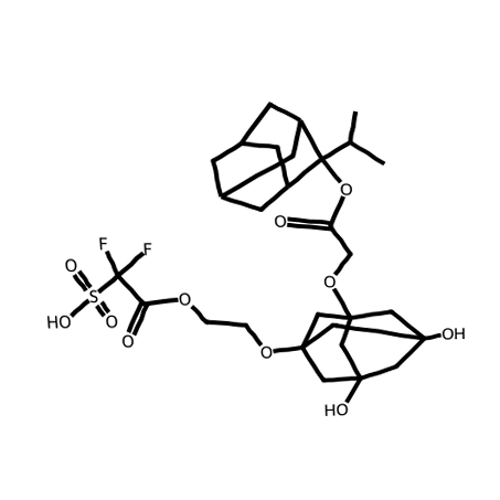 CC(C)C1(OC(=O)COC23CC4(O)CC(O)(CC(OCCOC(=O)C(F)(F)S(=O)(=O)O)(C4)C2)C3)C2CC3CC(C2)CC1C3